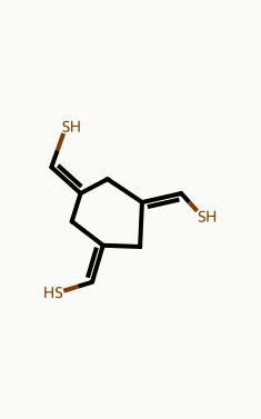 SC=C1CC(=CS)CC(=CS)C1